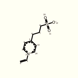 C=C[n+]1ccc(CCCS(=O)(=O)[O-])cc1